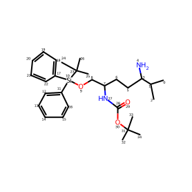 CC(C)C(N)CCC(CO[Si](c1ccccc1)(c1ccccc1)C(C)(C)C)NC(=O)OC(C)(C)C